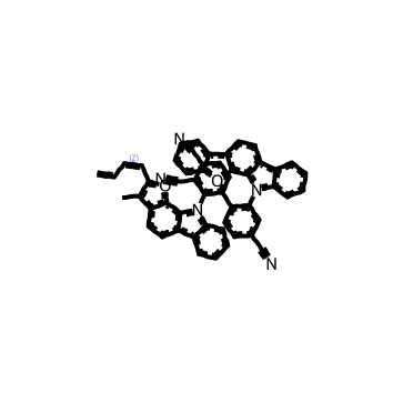 C=C/C=C\c1oc2c(ccc3c4ccccc4n(-c4c(-c5ccc(C#N)cc5-n5c6ccccc6c6ccc7c8ccccc8oc7c65)ccc(C#N)c4C#N)c32)c1C